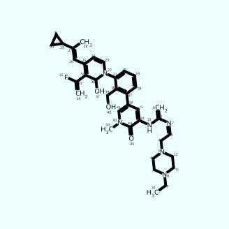 C=C(/N=C\CN1CCN(CC)CC1)Nc1cc(-c2cccc(N3C=CC(/C=C(\C)C4CC4)=C(C(=C)F)C3O)c2CO)cn(C)c1=O